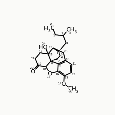 CCC(C)CN1CC[C@@]23c4c5ccc(OC)c4OC2C(=O)CC[C@]3(O)C1C5